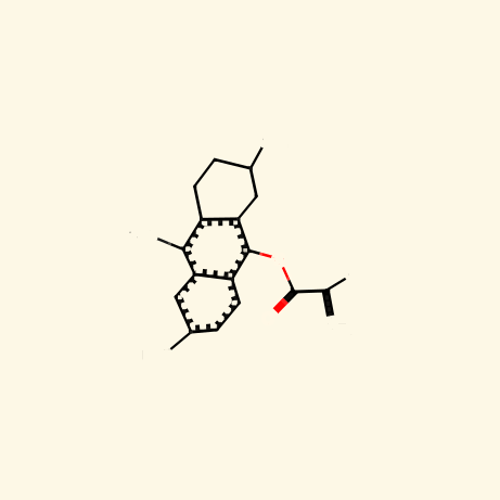 C=C(C)C(=O)Oc1c2c(c(OC(C)=O)c3cc(C)ccc13)CCC(C)C2